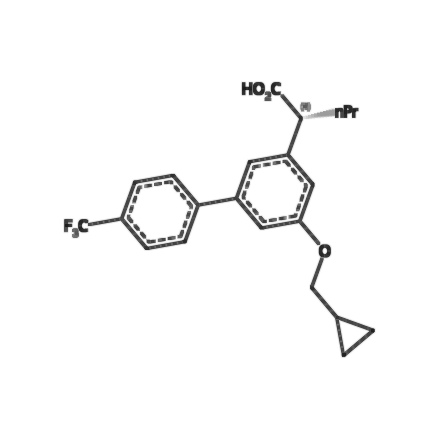 CCC[C@@H](C(=O)O)c1cc(OCC2CC2)cc(-c2ccc(C(F)(F)F)cc2)c1